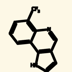 FC(F)(F)c1cccc2c1ncc1cc[nH]c12